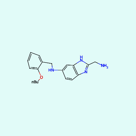 CCCCOc1ccccc1CNc1ccc2nc(CN)[nH]c2c1